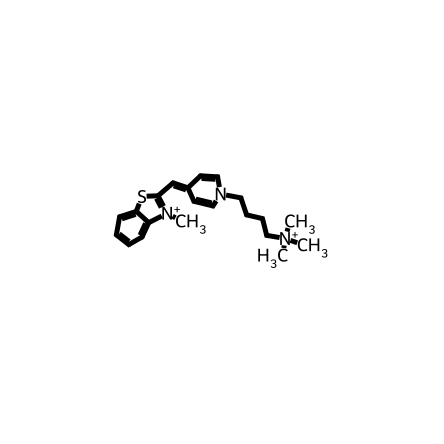 C[n+]1c(C=C2C=CN(CCCC[N+](C)(C)C)C=C2)sc2ccccc21